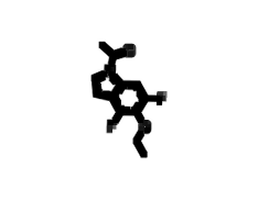 CCOc1c(F)cc2c(ccn2C(C)=O)c1F